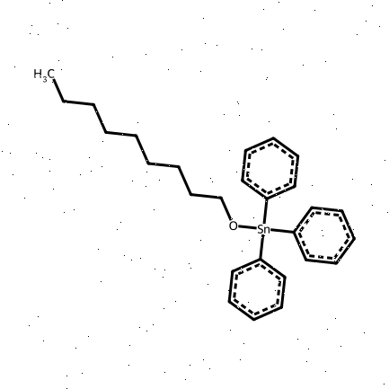 CCCCCCCCC[O][Sn]([c]1ccccc1)([c]1ccccc1)[c]1ccccc1